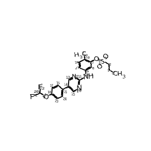 CCCS(=O)(=O)Oc1cc(Nc2ncc(-c3ccc(OC(F)F)cc3)cn2)ccc1C